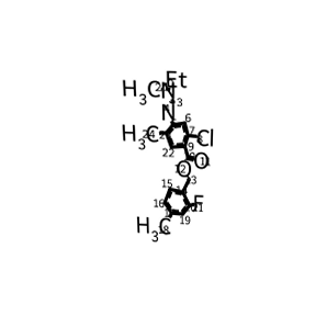 CCN(C)/C=N/c1cc(Cl)c(C(=O)OCc2ccc(C)cc2F)cc1C